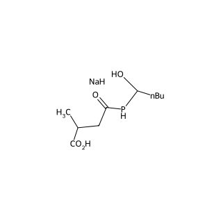 CCCCC(O)PC(=O)CC(C)C(=O)O.[NaH]